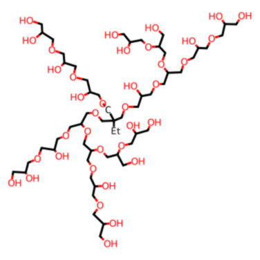 CCC(COCC(O)COCC(O)COCC(O)CO)(COCC(O)COCC(COCC(O)COCC(O)CO)OCC(CO)OCC(O)CO)COCC(COCC(O)COCC(O)CO)OCC(COCC(O)COCC(O)CO)OCC(CO)OCC(O)CO